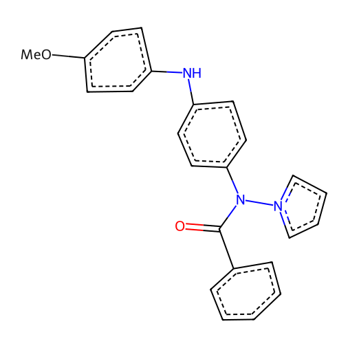 COc1ccc(Nc2ccc(N(C(=O)c3ccccc3)n3cccc3)cc2)cc1